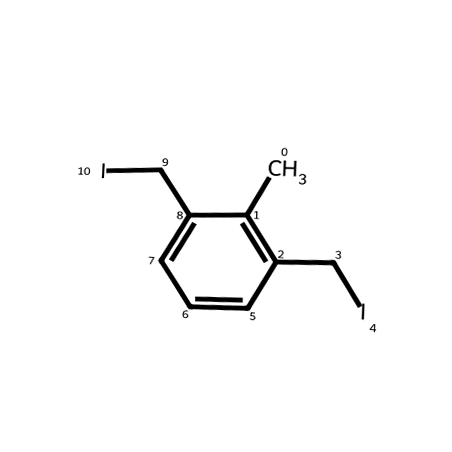 Cc1c(CI)cccc1CI